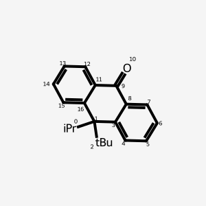 CC(C)C1(C(C)(C)C)c2ccccc2C(=O)c2ccccc21